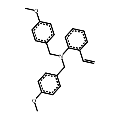 C=Cc1ccccc1N(Cc1ccc(OC)cc1)Cc1ccc(OC)cc1